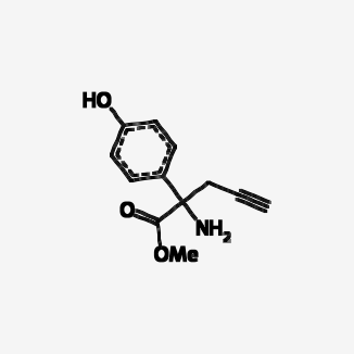 C#CCC(N)(C(=O)OC)c1ccc(O)cc1